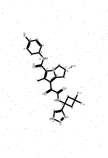 Cc1c(C(=O)C(=O)NC2(c3c[nH]nn3)CC(F)(F)C2)c2n(c1C(=O)NC1C=CC(F)=CC1)C[C@H](F)C2